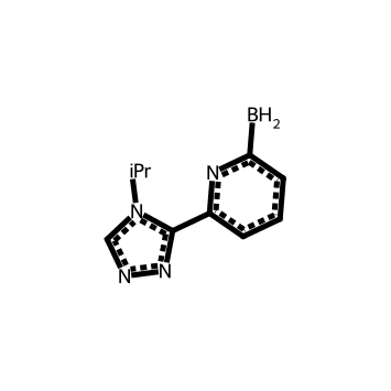 Bc1cccc(-c2nncn2C(C)C)n1